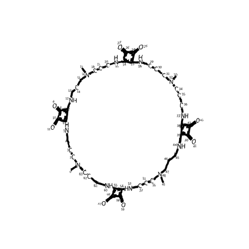 CN1CCCNc2c(c(=O)c2=O)NCCCN(C)CCCNc2c(c(=O)c2=O)NCCCN(C)CCCNc2c(c(=O)c2=O)NCCCN(C)CCCNc2c(c(=O)c2=O)NCCC1